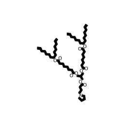 C=CCCCCCC(CCCCCC=C)OC(=O)CCCCCCC(=O)OCC(COC(=O)CCCCCCC(=O)OC(CCCCCC=C)CCCCCC=C)COC(=O)CCCN1CCCC1